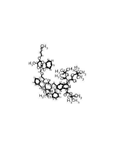 CCCCOC(=O)[C@H](C)OP(=O)(COCCCN1C(=O)N(Cc2ccc3c(c2)c(N(C(=O)OC(C)(C)C)C(=O)OC(C)(C)C)nn3C(=O)OC(C)(C)C)[C@H](Cc2ccccc2)[C@@H]2OC(C)(C)O[C@H]2[C@H]1Cc1ccccc1)Oc1ccccc1